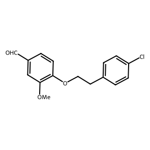 COc1cc(C=O)ccc1OCCc1ccc(Cl)cc1